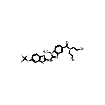 Cn1c(Nc2nc3ccc(OC(F)(F)F)cc3s2)nc2cc(C(=O)N(CCO)CCO)ccc21